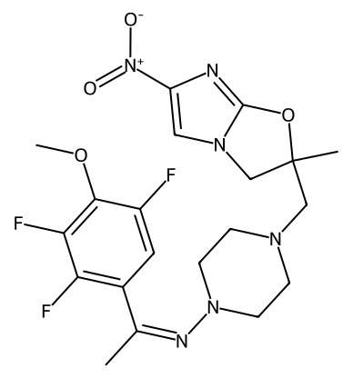 COc1c(F)cc(C(C)=NN2CCN(CC3(C)Cn4cc([N+](=O)[O-])nc4O3)CC2)c(F)c1F